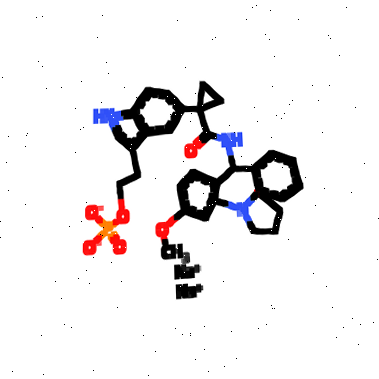 COc1ccc(C(NC(=O)C2(c3ccc4[nH]cc(CCOP(=O)([O-])[O-])c4c3)CC2)c2ccccc2)c(N2CCCC2)c1.[Na+].[Na+]